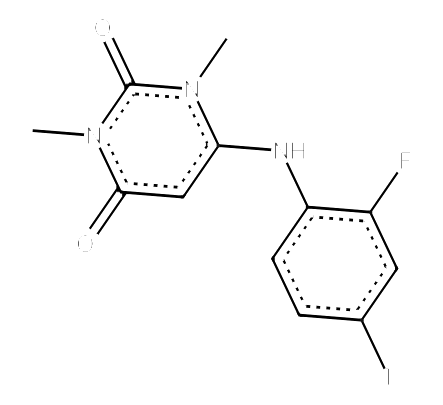 Cn1c(Nc2ccc(I)cc2F)cc(=O)n(C)c1=O